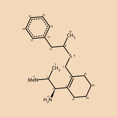 CNC(C)[C@H](N)C1=C(CSC(C)Cc2ccccc2)CCCC1